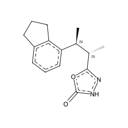 C[C@H](c1n[nH]c(=O)o1)[C@H](C)c1cccc2c1CCC2